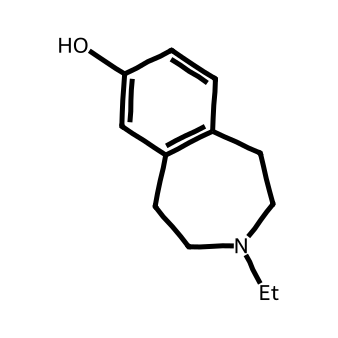 CCN1CCc2ccc(O)cc2CC1